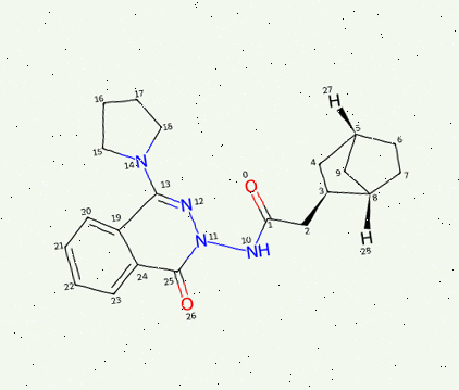 O=C(C[C@H]1C[C@@H]2CC[C@H]1C2)Nn1nc(N2CCCC2)c2ccccc2c1=O